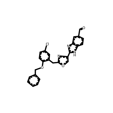 O=Cc1ccc2[nH]c(-c3coc(Cc4cc(Cl)ccc4OCc4ccccc4)n3)nc2c1